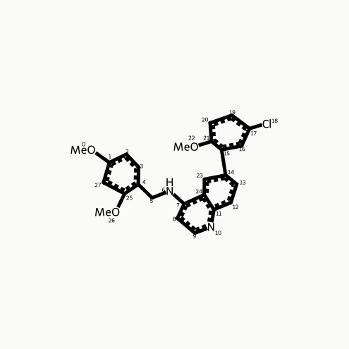 COc1ccc(CNc2ccnc3ccc(-c4cc(Cl)ccc4OC)cc23)c(OC)c1